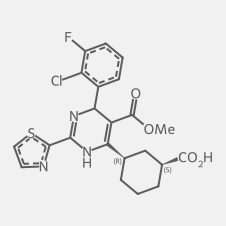 COC(=O)C1=C([C@@H]2CCC[C@H](C(=O)O)C2)NC(c2nccs2)=NC1c1cccc(F)c1Cl